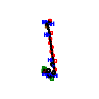 O=C(CCCCC1SCC2NC(=O)NC21)NCCOCCOCCOCCOCCOCCNC(=O)C1CCCN(CCOc2ccc(Nc3nc(Nc4ccccc4OC(F)(F)F)ncc3Cl)cc2)C1